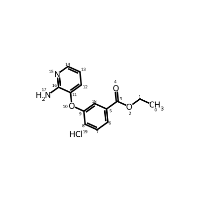 CCOC(=O)c1cccc(Oc2cccnc2N)c1.Cl